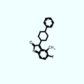 Cc1c(F)ccc2c1=C(C1CCC(c3ccccc3)CC1)C(=O)N=2